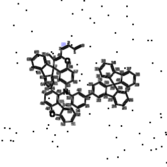 C=C/C=C\C1=C(C)C2(c3cc(N(c4cccc(-c5ccc6c(c5)-c5ccccc5C65c6ccccc6-c6ccccc65)c4)c4cccc5oc6ccccc6c45)ccc3O1)c1ccccc1-c1ccccc12